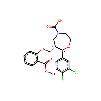 COC(=O)c1ccccc1OC[C@@H]1CN(C(=O)O)CCO[C@H]1c1ccc(Cl)c(Cl)c1